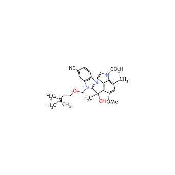 COc1cc(C)c2c(ccn2C(=O)O)c1C(O)(c1nc2ccc(C#N)cc2n1COCC[Si](C)(C)C)C(F)(F)F